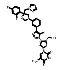 Cc1cn([C@H]2C[C@H](n3nnc(-c4cccc(N5COC(Cn6cncn6)(c6ccc(F)cc6F)C5)c4)c3I)[C@@H](CO)O2)c(=O)[nH]c1=O